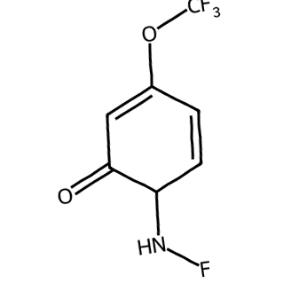 O=C1C=C(OC(F)(F)F)C=CC1NF